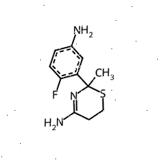 CC1(c2cc(N)ccc2F)N=C(N)CCS1